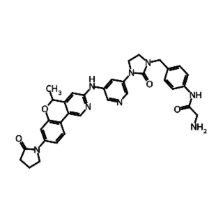 CC1Oc2cc(N3CCCC3=O)ccc2-c2cnc(Nc3cncc(N4CCN(Cc5ccc(NC(=O)CN)cc5)C4=O)c3)cc21